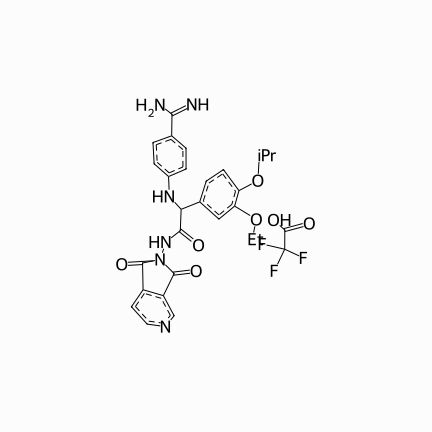 CCOc1cc(C(Nc2ccc(C(=N)N)cc2)C(=O)NN2C(=O)c3ccncc3C2=O)ccc1OC(C)C.O=C(O)C(F)(F)F